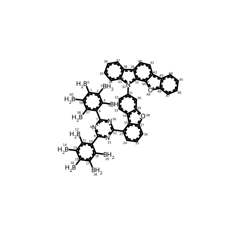 Bc1c(B)c(B)c(-c2nc(-c3c(B)c(B)c(B)c(B)c3B)nc(-c3cccc4oc5cc(-n6c7ccccc7c7ccc8c9ccccc9oc8c76)ccc5c34)n2)c(B)c1B